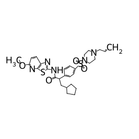 C=CCN1CCN(S(=O)(=O)c2ccc(C(CC3CCCC3)C(=O)Nc3nc4ccc(OC)nc4s3)cc2)CC1